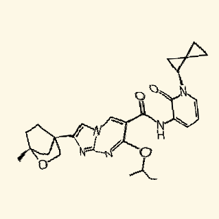 CC(C)Oc1nc2nc([C@]34CC[C@](C)(C3)OC4)cn2cc1C(=O)Nc1cccn([C@H]2CC23CC3)c1=O